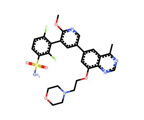 COc1ncc(-c2cc(OCCN3CCOCC3)c3ncnc(C)c3c2)cc1-c1c(F)ccc(S(N)(=O)=O)c1F